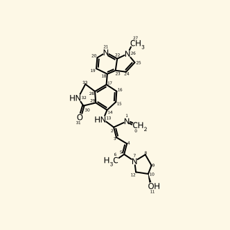 C=N/C(=C\C=C(/C)N1CC[C@@H](O)C1)Nc1ccc(-c2ccnc3c2ccn3C)c2c1C(=O)NC2